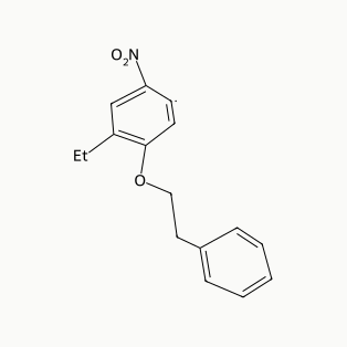 CCc1cc([N+](=O)[O-])[c]cc1OCCc1ccccc1